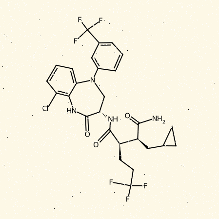 NC(=O)[C@@H](CC1CC1)[C@@H](CCC(F)(F)F)C(=O)N[C@H]1CN(c2cccc(C(F)(F)F)c2)c2cccc(Cl)c2NC1=O